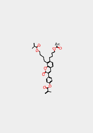 C=C(C)C(=O)OCCCCc1c(CCCCOC(=O)C(C)=O)ccc2cc(-c3ccc(OC(=O)C(=C)C)cc3)c(=O)oc12